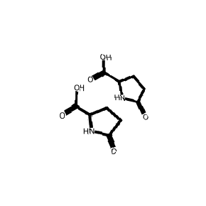 O=C1CCC(C(=O)O)N1.O=C1CCC(C(=O)O)N1